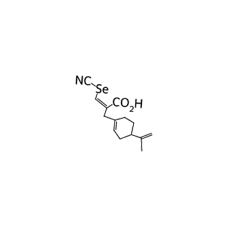 C=C(C)C1CC=C(C/C(=C/[Se]C#N)C(=O)O)CC1